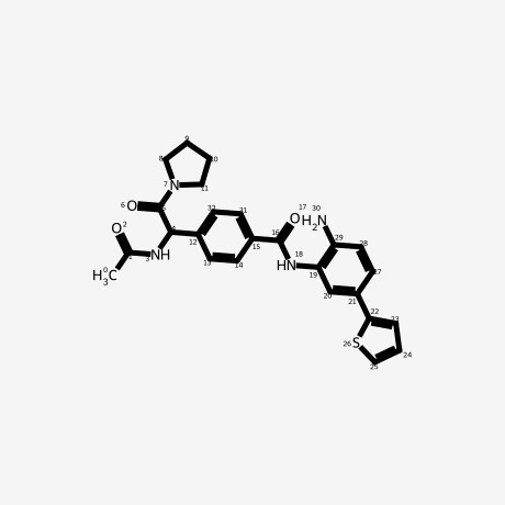 CC(=O)NC(C(=O)N1CCCC1)c1ccc(C(=O)Nc2cc(-c3cccs3)ccc2N)cc1